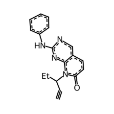 C#CC(CC)n1c(=O)ccc2cnc(Nc3ccccc3)nc21